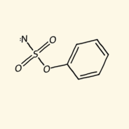 [N]S(=O)(=O)Oc1ccccc1